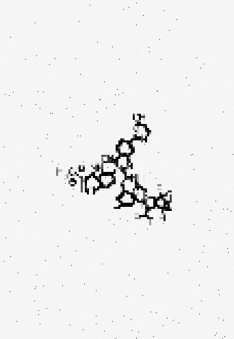 Cc1ccnc(-c2ccc3c(=O)n(-c4ccc(Cl)c5c(NS(C)(=O)=O)nn(C)c45)c([C@H](Cc4cc(F)cc(F)c4)NC(=O)Cn4nc(C(F)F)c5c4C(F)(F)[C@@H]4C[C@H]54)nc3c2)n1